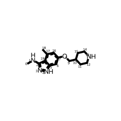 CNc1n[nH]c2cc(OCC3CCNCC3)cc(C)c12